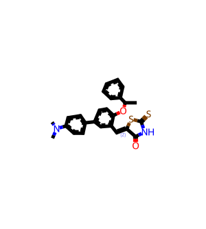 CC(Oc1ccc(-c2ccc(N(C)C)cc2)cc1/C=C1\SC(=S)NC1=O)c1ccccc1